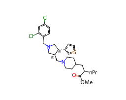 CCCC(CC1CCN(C[C@H]2CN(Cc3ccc(Cl)cc3Cl)C[C@@H]2c2ccsc2)CC1)C(=O)OC